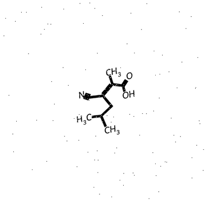 CC(C(=O)O)=C(C#N)CC(C)C